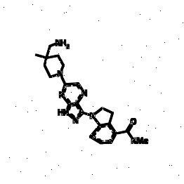 CNC(=O)c1cccc2c1CCN2c1n[nH]c2nc(N3CCC(C)(CN)CC3)cnc12